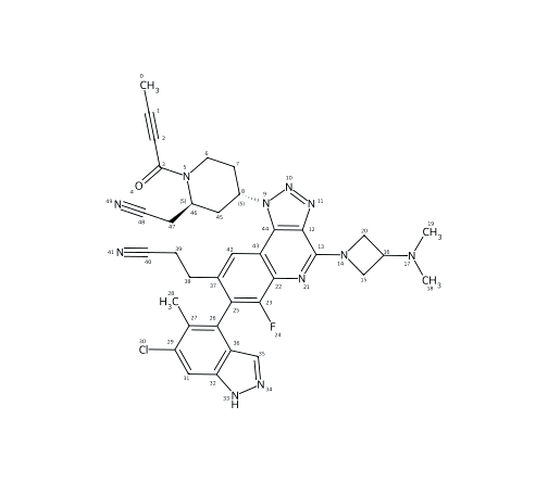 CC#CC(=O)N1CC[C@H](n2nnc3c(N4CC(N(C)C)C4)nc4c(F)c(-c5c(C)c(Cl)cc6[nH]ncc56)c(CCC#N)cc4c32)C[C@H]1CC#N